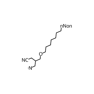 CCCCCCCCCCCCCCCCOCC(C[N])CC#N